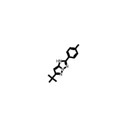 Cc1ccc(-c2nn3nc(C(C)(C)C)cc3[nH]2)cc1